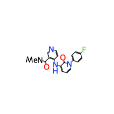 CNC(=O)c1cnccc1Nc1cccn(-c2ccc(F)cc2)c1=O